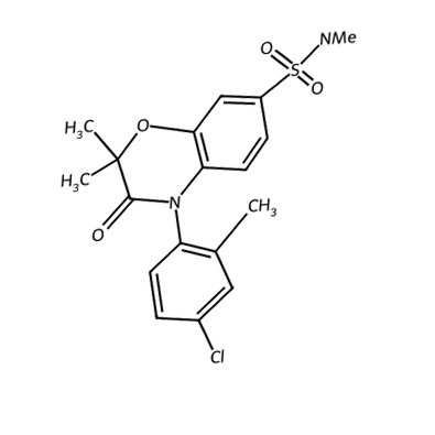 CNS(=O)(=O)c1ccc2c(c1)OC(C)(C)C(=O)N2c1ccc(Cl)cc1C